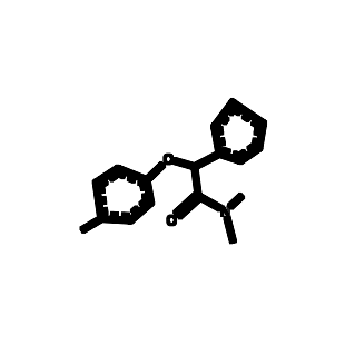 Cc1ccc(OC(C(=O)N(C)C)c2ccccc2)cc1